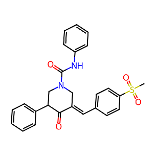 CS(=O)(=O)c1ccc(C=C2CN(C(=O)Nc3ccccc3)CC(c3ccccc3)C2=O)cc1